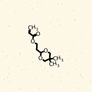 C=CC(=O)OCCC1OCC(C)(C)CO1